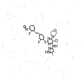 COc1c(Nc2cc(C)[nH]n2)nc(Sc2ccc(/C=C/c3cccc(N=O)c3F)cc2F)nc1N1CCOCC1